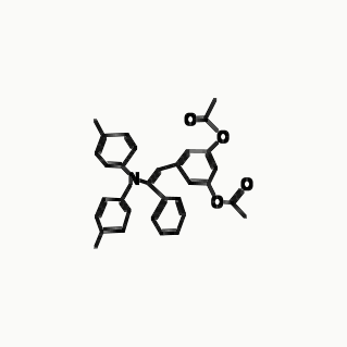 CC(=O)Oc1cc(C=C(c2ccccc2)N(c2ccc(C)cc2)c2ccc(C)cc2)cc(OC(C)=O)c1